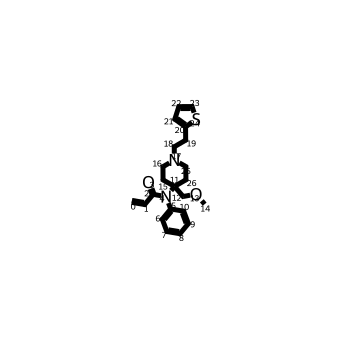 C=CC(=O)N(c1ccccc1)C1(COC)CCN(CCc2cccs2)CC1